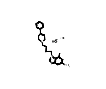 Cc1cc(N)cc2ncn(CCCCN3CC=C(c4ccccc4)CC3)c12.Cl.Cl.Cl